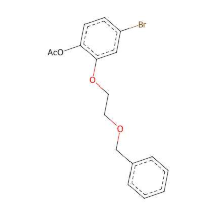 CC(=O)Oc1ccc(Br)cc1OCCOCc1ccccc1